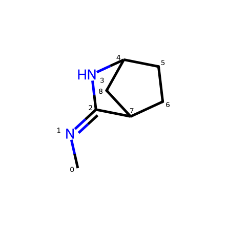 C/N=C1/NC2CCC1C2